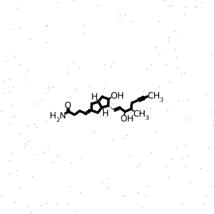 CC#CC[C@@H](C)[C@@H](O)/C=C/[C@@H]1[C@H]2CC(=CCCC(N)=O)C[C@H]2C[C@H]1O